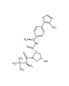 Cc1ncsc1-c1ccc([C@H](C)NC(=O)[C@@H]2C[C@H](O)CN2C(=O)[C@@H](N)C(C)(C)C)cc1